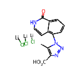 Cc1c(C(=O)O)nnn1-c1cccc2c(=O)[nH]ccc12.[Li][Cl].[Li][Cl].[Li][Cl]